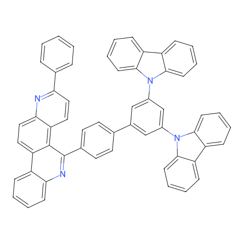 c1ccc(-c2ccc3c(ccc4c5ccccc5nc(-c5ccc(-c6cc(-n7c8ccccc8c8ccccc87)cc(-n7c8ccccc8c8ccccc87)c6)cc5)c34)n2)cc1